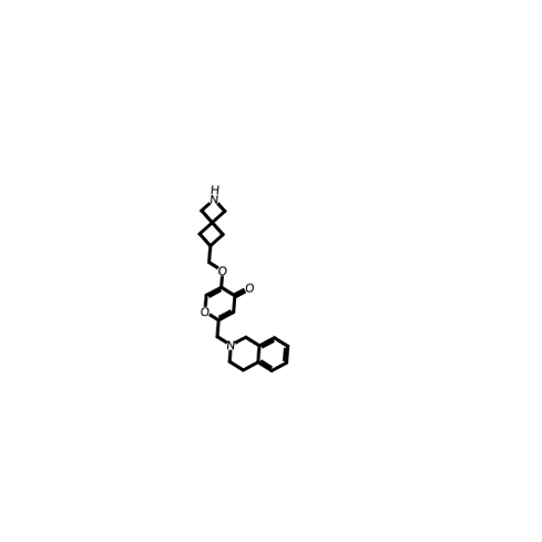 O=c1cc(CN2CCc3ccccc3C2)occ1OCC1CC2(CNC2)C1